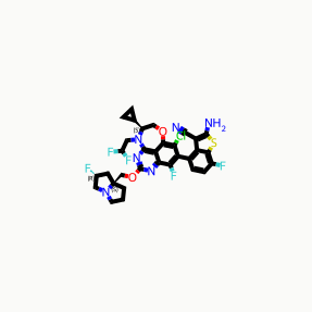 N#Cc1c(N)sc2c(F)ccc(-c3c(Cl)c4c5c(nc(OC[C@@]67CCCN6C[C@H](F)C7)nc5c3F)N(CC(F)F)[C@@H](C3CC3)CO4)c12